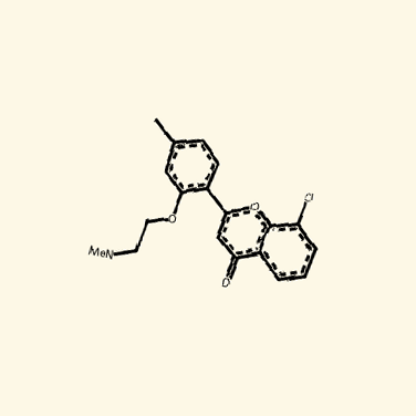 CNCCOc1cc(C)ccc1-c1cc(=O)c2cccc(Cl)c2o1